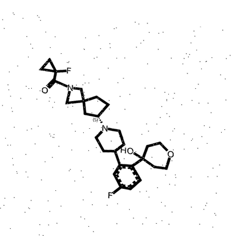 O=C(N1CC2(CC[C@H](N3CCC(c4cc(F)ccc4C4(O)CCOCC4)CC3)C2)C1)C1(F)CC1